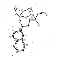 CCC(I)=CC[C@H](O[Si](CC)(CC)CC)c1ccc2ncccc2c1